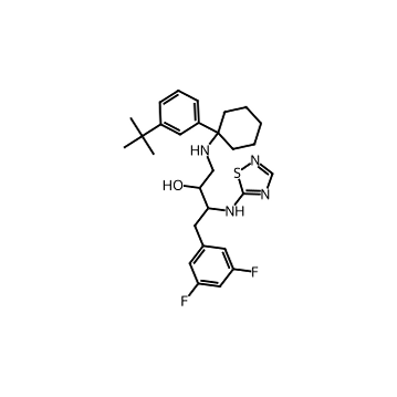 CC(C)(C)c1cccc(C2(NCC(O)C(Cc3cc(F)cc(F)c3)Nc3ncns3)CCCCC2)c1